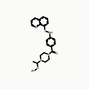 CC(C)OC(C)N1CCN(C(=O)c2ccc(NSc3cccc4cccnc34)cc2)CC1